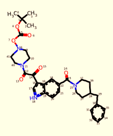 CC(C)(C)OC(=O)ON1CCN(C(=O)C(=O)c2c[nH]c3ccc(C(=O)N4CCC(Cc5ccccc5)CC4)cc23)CC1